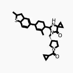 CC1=CC(C2=CC3CC(C)SC3C=C2)CCC1C1NC2(CC2)C(=O)N1C[C@@H]1CCN(C(=O)C2CC2)C1